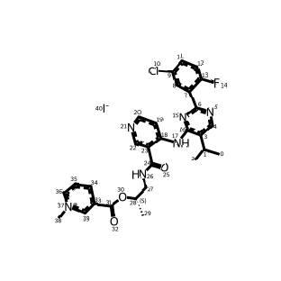 CC(C)c1cnc(-c2cc(Cl)ccc2F)nc1Nc1ccncc1C(=O)NC[C@H](C)OC(=O)c1ccc[n+](C)c1.[I-]